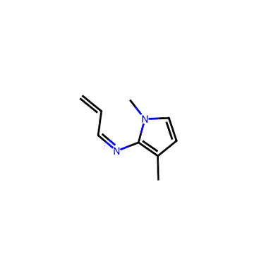 C=C/C=N\c1c(C)ccn1C